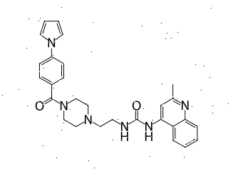 Cc1cc(NC(=O)NCCN2CCN(C(=O)c3ccc(-n4cccc4)cc3)CC2)c2ccccc2n1